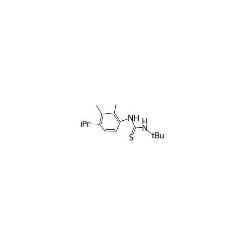 Cc1c(NC(=S)NC(C)(C)C)ccc(C(C)C)c1C